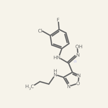 CCCNc1nonc1/C(=N/O)Nc1ccc(F)c(Cl)c1